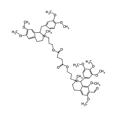 COc1ccc(CC2c3cc(OC)c(OC)cc3CC[N+]2(C)CCCOC(=O)CCC(=O)OCCC[N+]2(C)CCc3cc(OC)c(C=O)c(OC)c3C2c2cc(OC)c(OC)c(OC)c2)cc1OC